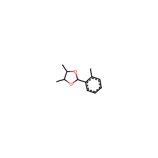 [CH2]c1ccccc1C1OC(C)C(C)O1